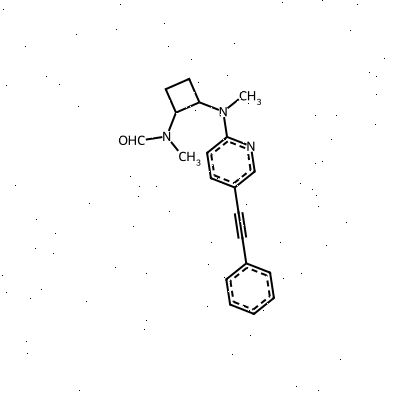 CN(C=O)C1CCC1N(C)c1ccc(C#Cc2ccccc2)cn1